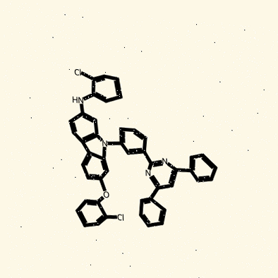 Clc1ccccc1Nc1ccc2c3ccc(Oc4ccccc4Cl)cc3n(-c3cccc(-c4nc(-c5ccccc5)cc(-c5ccccc5)n4)c3)c2c1